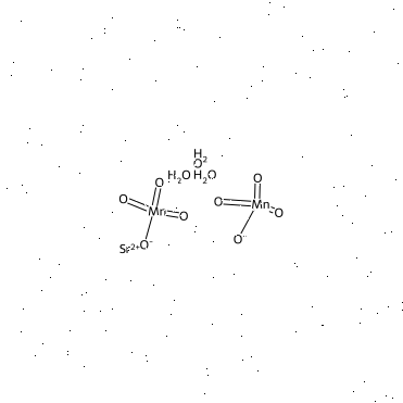 O.O.O.[O]=[Mn](=[O])(=[O])[O-].[O]=[Mn](=[O])(=[O])[O-].[Sr+2]